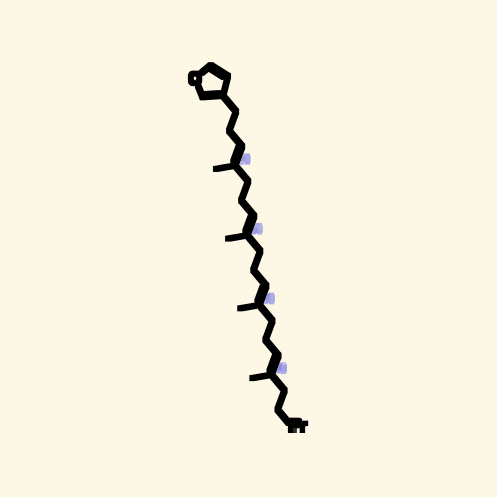 C/C(=C\CC/C(C)=C/CCc1ccoc1)CC/C=C(\C)CC/C=C(\C)CCC(C)C